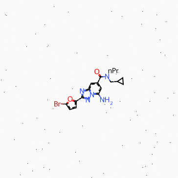 CCCN(CC1CC1)C(=O)c1cc(N)n2nc(-c3ccc(Br)o3)nc2c1